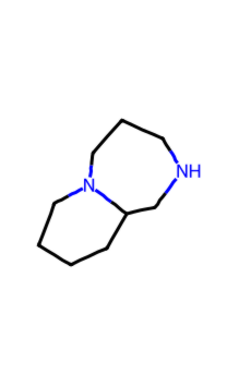 C1CCN2CCCNCC2C1